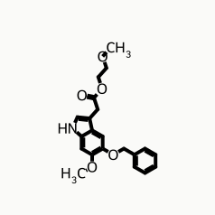 COCCOC(=O)Cc1c[nH]c2cc(OC)c(OCc3ccccc3)cc12